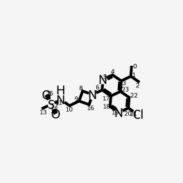 CC(C)c1cnc(N2CC(CNS(C)(=O)=O)C2)c2cnc(Cl)cc12